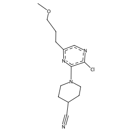 COCCCc1cnc(Cl)c(N2CCC(C#N)CC2)n1